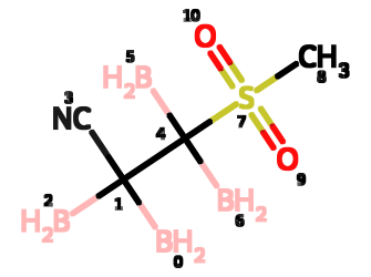 BC(B)(C#N)C(B)(B)S(C)(=O)=O